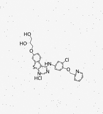 Cl.OC[C@@H](O)COc1ccc2c(c1)sc1ncnc(Nc3ccc(OCc4ccccn4)c(Cl)c3)c12